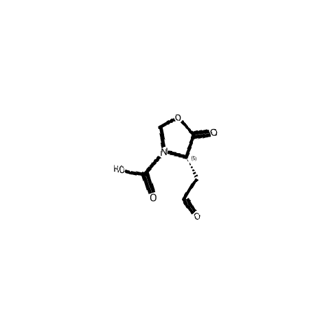 O=CC[C@H]1C(=O)OCN1C(=O)O